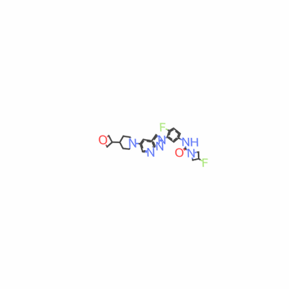 O=C(Nc1ccc(F)c(-n2cc3cc(N4CCC(C5COC5)CC4)cnc3n2)c1)N1CC(F)C1